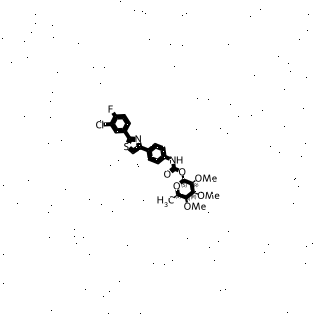 CO[C@@H]1[C@@H](OC)[C@H](C)O[C@@H](OC(=O)Nc2ccc(-c3csc(-c4ccc(F)c(Cl)c4)n3)cc2)[C@@H]1OC